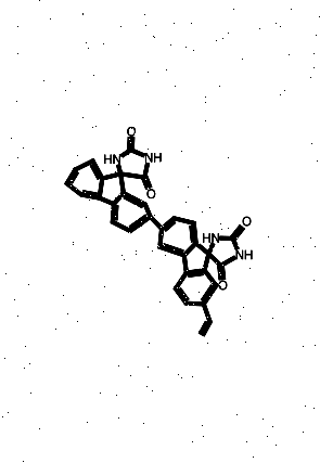 C=Cc1ccc2c(c1)C1(NC(=O)NC1=O)c1ccc(-c3ccc4c(c3)C3(NC(=O)NC3=O)c3ccccc3-4)cc1-2